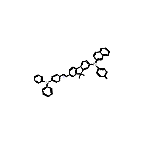 Cc1ccc(N(c2ccc3c(c2)C(C)(C)c2cc(/C=C/c4ccc(N(c5ccccc5)c5ccccc5)cc4)ccc2-3)c2ccc3ccccc3c2)cc1